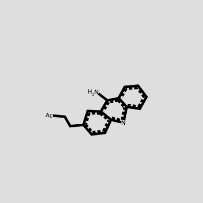 CC(=O)CCc1ccc2nc3ccccc3c(N)c2c1